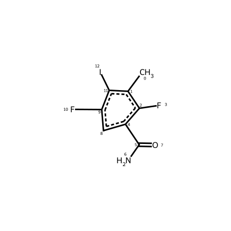 Cc1c(F)c(C(N)=O)cc(F)c1I